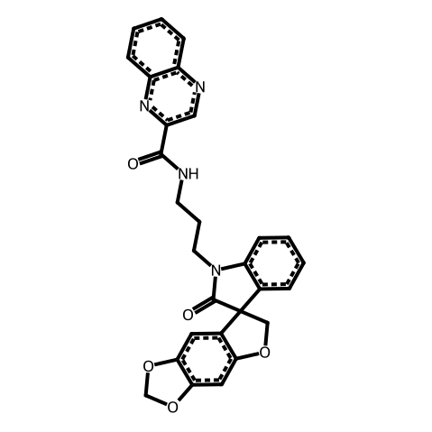 O=C(NCCCN1C(=O)C2(COc3cc4c(cc32)OCO4)c2ccccc21)c1cnc2ccccc2n1